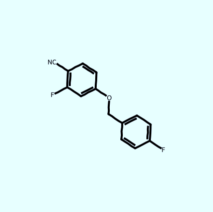 N#Cc1ccc(OCc2ccc(F)cc2)cc1F